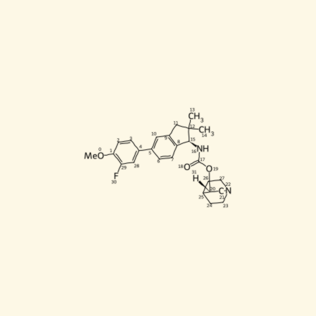 COc1ccc(-c2ccc3c(c2)CC(C)(C)[C@H]3NC(=O)O[C@@H]2CN3CCC2CC3)cc1F